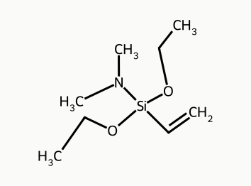 C=C[Si](OCC)(OCC)N(C)C